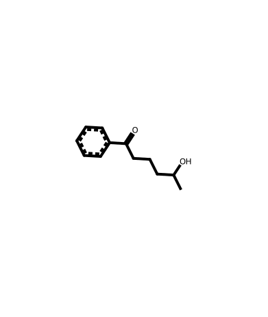 CC(O)CCCC(=O)c1ccccc1